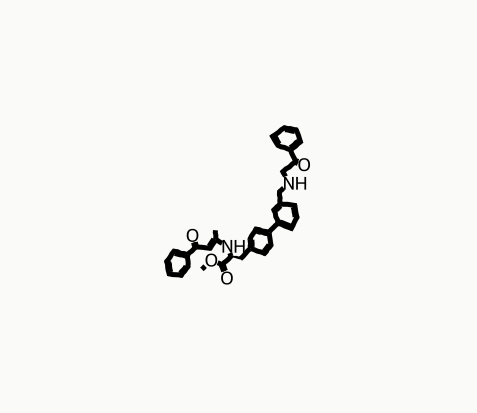 COC(=O)[C@H](Cc1ccc(-c2cccc(CNCC(=O)c3ccccc3)c2)cc1)NC(C)=CC(=O)c1ccccc1